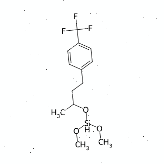 CO[SiH](OC)OC(C)CCc1ccc(C(F)(F)F)cc1